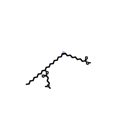 CCCCCCCCCC(CCCCCCCC/C=C\CCCCCCCC(=O)OC)OC(=O)CCCN(C)C